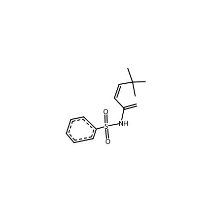 C=C(/C=C\C(C)(C)C)NS(=O)(=O)c1ccccc1